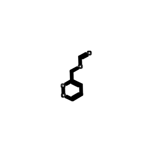 O=COCC1=CC=COO1